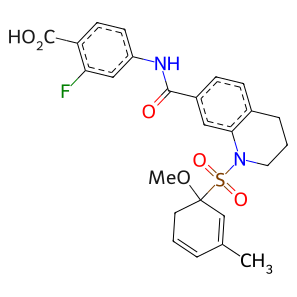 COC1(S(=O)(=O)N2CCCc3ccc(C(=O)Nc4ccc(C(=O)O)c(F)c4)cc32)C=C(C)C=CC1